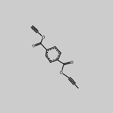 C#COC(=O)c1ccc(C(=O)OC#CC)cc1